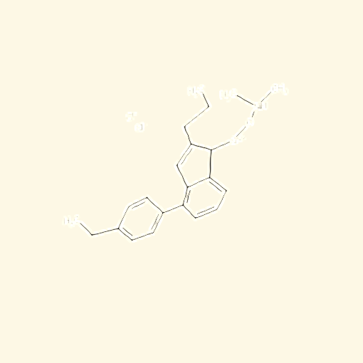 CCCC1=Cc2c(-c3ccc(CC)cc3)cccc2[CH]1[Zr+2][O][SiH](C)C.[Cl-].[Cl-]